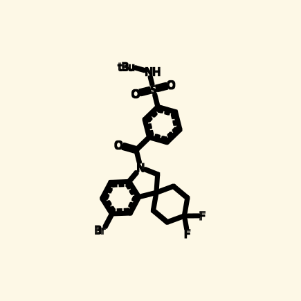 CC(C)(C)NS(=O)(=O)c1cccc(C(=O)N2CC3(CCC(F)(F)CC3)c3cc(Br)ccc32)c1